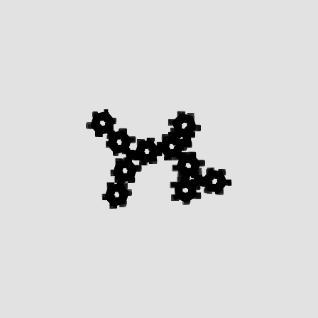 c1ccc(-c2ccc(N(c3ccc(-c4ccccc4)cc3)c3ccc(-c4cc(-c5ccc6c(c5)c5ccccc5n6-c5ccccc5)c5sc6ccccc6c5c4)cc3)cc2)cc1